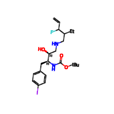 C=CC(F)C(CC)CNC[C@H](O)[C@H](Cc1ccc(I)cc1)NC(=O)OC(C)(C)C